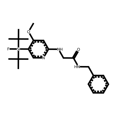 COc1cc(NCC(=O)NCc2ccccc2)ncc1[Si](F)(C(C)(C)C)C(C)(C)C